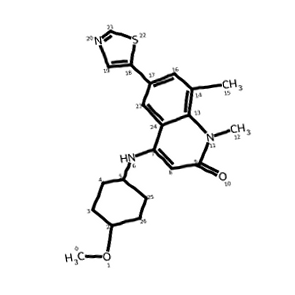 COC1CCC(Nc2cc(=O)n(C)c3c(C)cc(-c4cncs4)cc23)CC1